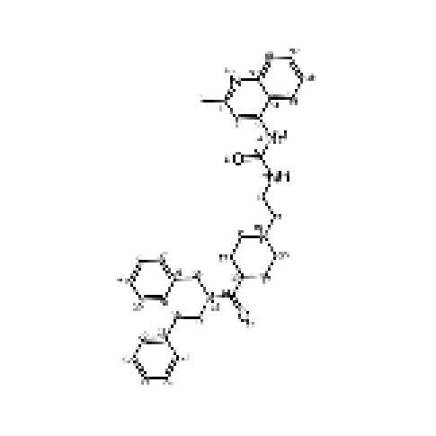 Cc1cc(NC(=O)NCCN2CCC(C(=O)N(CCc3ccccc3)Cc3ccccc3)CC2)c2ccccc2n1